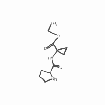 CCOC(=O)C1(NC(=O)[C@@H]2CCCN2)CC1